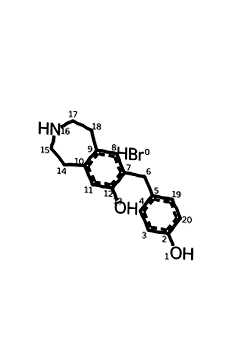 Br.Oc1ccc(Cc2cc3c(cc2O)CCNCC3)cc1